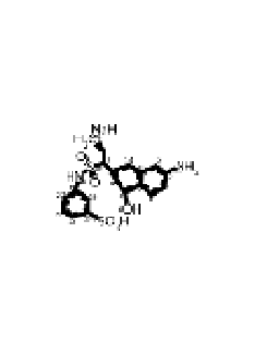 C=CC(c1cc(O)c2ccc(N)cc2c1)S(=O)(=O)Nc1cccc(S(=O)(=O)O)c1.[NaH]